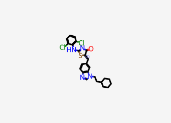 O=C1N=C(Nc2c(Cl)cccc2Cl)S/C1=C\c1ccc2ncn(CCC3CCCCC3)c2c1